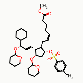 COC(=O)CCC/C=C\C[C@@H]1[C@@H](/C=C/[C@H](OC2CCCCO2)C2CCCCC2)[C@H](OC2CCCCO2)C[C@H]1OS(=O)(=O)c1ccc(C)cc1